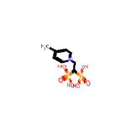 O=P(O)(O)C(C[n+]1ccc(C(F)(F)F)cc1)P(=O)(O)O